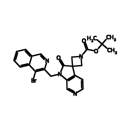 CC(C)(C)OC(=O)N1CC2(C1)C(=O)N(Cc1ncc3ccccc3c1Br)c1cnccc12